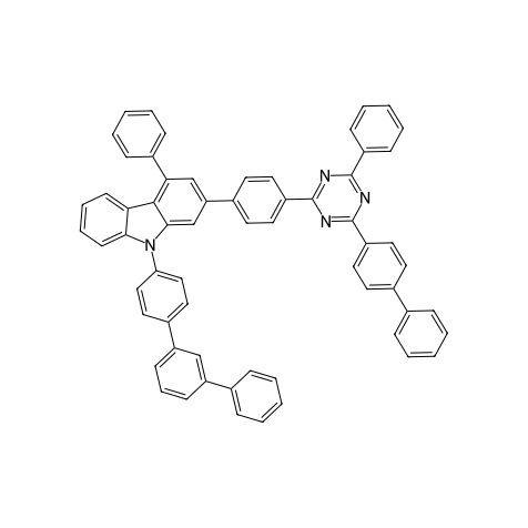 c1ccc(-c2ccc(-c3nc(-c4ccccc4)nc(-c4ccc(-c5cc(-c6ccccc6)c6c7ccccc7n(-c7ccc(-c8cccc(-c9ccccc9)c8)cc7)c6c5)cc4)n3)cc2)cc1